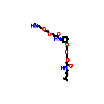 CNCCOCCOCCC(=O)Nc1cccc(OCCOCCOCC(=O)NC/C=C/C(C)C)c1